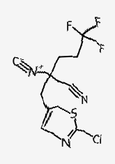 [C-]#[N+]C(C#N)(CCC(F)(F)F)Cc1cnc(Cl)s1